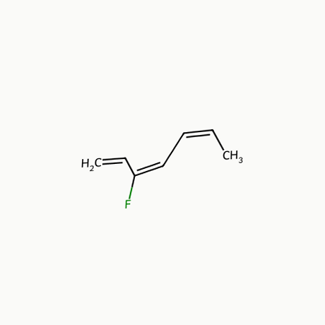 C=C/C(F)=C\C=C/C